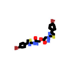 O=C(COC(=O)CNc1nc(-c2ccc(Br)cc2)cs1)Nc1nc(-c2ccc(Br)cc2)cs1